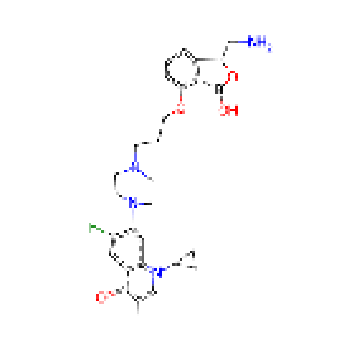 Cc1cn(C2CC2)c2cc(N3CCN(CCCOc4cccc5c4B(O)OC5CN)CC3)c(F)cc2c1=O